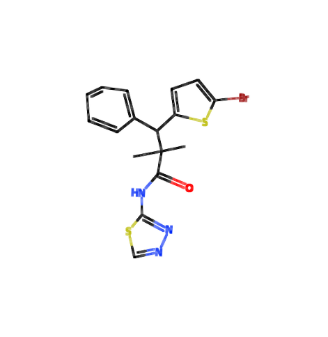 CC(C)(C(=O)Nc1nncs1)C(c1ccccc1)c1ccc(Br)s1